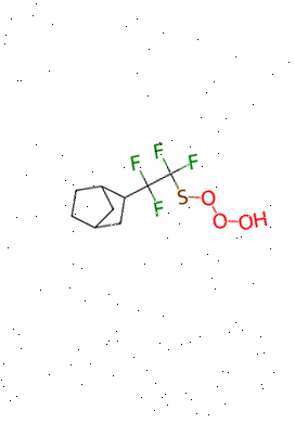 OOOSC(F)(F)C(F)(F)C1CC2CCC1C2